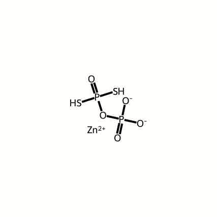 O=P([O-])([O-])OP(=O)(S)S.[Zn+2]